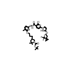 Cc1ccc(SNC(=O)c2ccc(N3C=CC(OCCC4(C(F)(F)F)CC4)N3)nc2Cl)nc1OCCCC1CN(C(=O)OC(C)(C)C)C(C)(C)C1